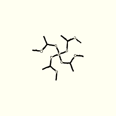 COC(C)O[Si](OC(C)OC)(OC(C)OC)OC(C)OC